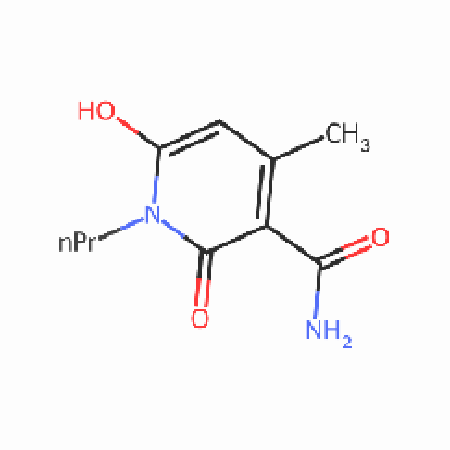 CCCn1c(O)cc(C)c(C(N)=O)c1=O